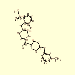 C=C(N)/C=C(\C=C/N)CN1CCC(C(=O)N2CCN(Cc3c(F)cccc3[N+](=O)O)CC2)CC1